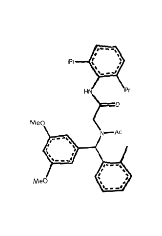 COc1cc(OC)cc(C(c2ccccc2C)N(CC(=O)Nc2c(C(C)C)cccc2C(C)C)C(C)=O)c1